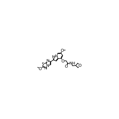 COc1cc(OCC(=O)NCC2COC2)c2cc(-c3cn4nc(OC)sc4n3)nn2c1